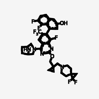 Oc1cc(-c2c(C(F)(F)F)cc3c(N4CC5CCC(C4)N5)nc(OCC4(CN5CCC6(CC5)CC6(F)F)CC4)nc3c2F)c2c(F)c(F)ccc2c1